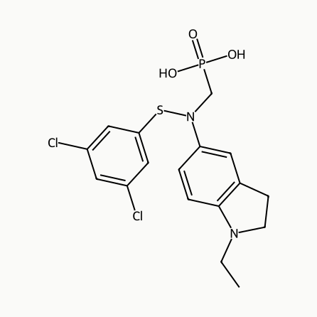 CCN1CCc2cc(N(CP(=O)(O)O)Sc3cc(Cl)cc(Cl)c3)ccc21